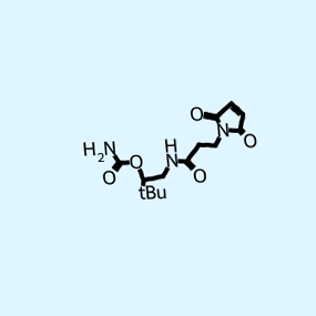 CC(C)(C)C(CNC(=O)CCN1C(=O)C=CC1=O)OC(N)=O